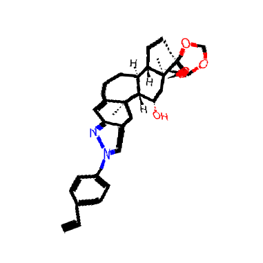 C=Cc1ccc(-n2cc3c(n2)C=C2CC[C@@H]4[C@H]([C@@H](O)C[C@@]5(C)[C@H]4CC[C@@]54OCOC45COCO5)[C@@]2(C)C3)cc1